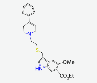 CCOC(=O)c1cc2[nH]cc(CSCCN3CC=C(c4ccccc4)CC3)c2cc1OC